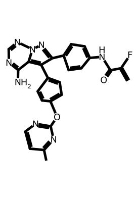 C=C(F)C(=O)Nc1ccc(-c2nn3ncnc(N)c3c2-c2ccc(Oc3nccc(C)n3)cc2)cc1